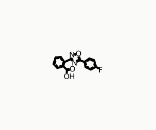 O=C(O)c1ccccc1-c1noc(-c2ccc(F)cc2)n1